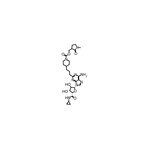 CN1CCC(COC(=O)N2CCC(CCCc3nc(N)c4ncn([C@@H]5O[C@H](C(=O)NC6CC6)[C@H](O)C5O)c4n3)CC2)C1=O